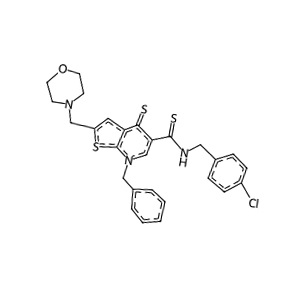 S=C(NCc1ccc(Cl)cc1)c1cn(Cc2ccccc2)c2sc(CN3CCOCC3)cc2c1=S